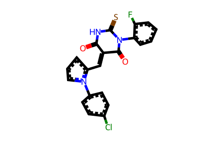 O=C1NC(=S)N(c2ccccc2F)C(=O)/C1=C/c1cccn1-c1ccc(Cl)cc1